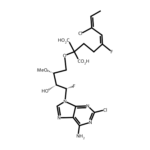 C/C=C(Cl)\C=C(\F)CCC(OC[C@@H](OC)[C@@H](O)[C@H](F)n1cnc2c(N)nc(Cl)nc21)(C(=O)O)C(=O)O